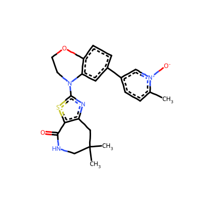 Cc1ccc(-c2ccc3c(c2)N(c2nc4c(s2)C(=O)NCC(C)(C)C4)CCO3)c[n+]1[O-]